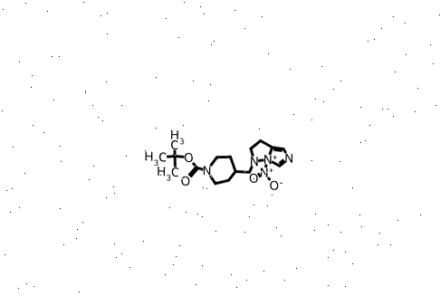 CC(C)(C)OC(=O)N1CCC(CN2CCC3=CN=C[N+]32[N+](=O)[O-])CC1